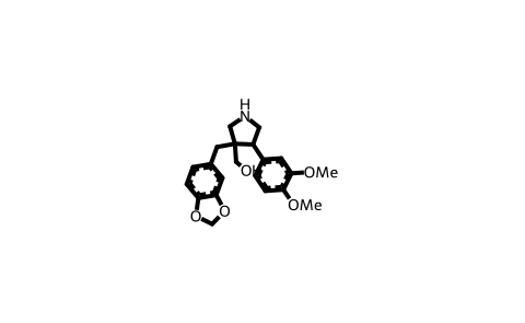 COc1ccc(C2CNCC2(CO)Cc2ccc3c(c2)OCO3)cc1OC